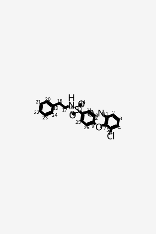 O=[N+]([O-])c1cccc(Cl)c1Oc1ccc(S(=O)(=O)NCCc2ccccc2)cc1